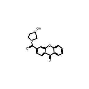 O=C(c1ccc2c(=O)c3ccccc3oc2c1)N1CC[C@H](O)C1